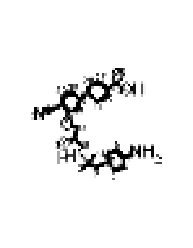 CC(C)(Cc1ccc(N)cc1)NCC(O)COc1cc(-c2ccc(C(=O)O)cc2)ccc1C#N